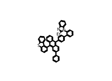 CCc1nc2ccccc2n1-c1ccccc1-c1ccc(-c2c3ccccc3c(-c3cccc4sc5ccccc5c34)c3cc(-c4ccccc4)ccc23)cc1